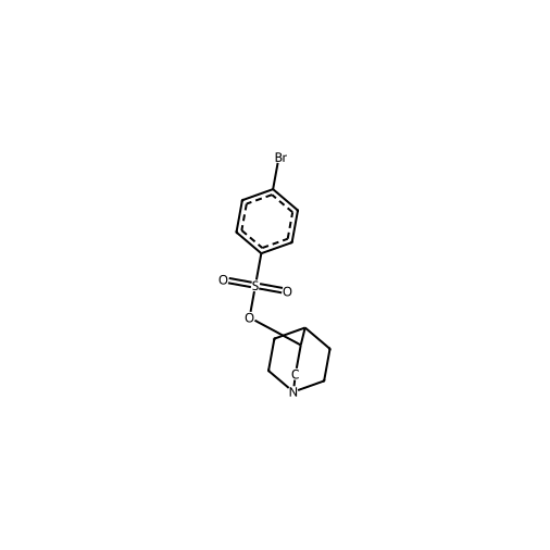 O=S(=O)(OC1CN2CCC1CC2)c1ccc(Br)cc1